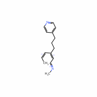 C\C=C/C(=C\C=N\C)CCCc1ccncc1